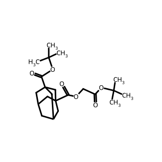 CC(C)(C)OC(=O)COC(=O)C12CC3CC(C1)CC(C(=O)OC(C)(C)C)(C3)C2